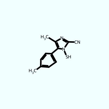 Cc1ccc(-c2c(C)nc(C#N)n2S)cc1